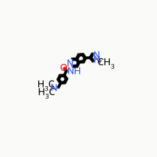 CN(C)Cc1ccc(C(=O)Nc2cc3cc(-c4cnn(C)c4)ccc3cn2)cc1